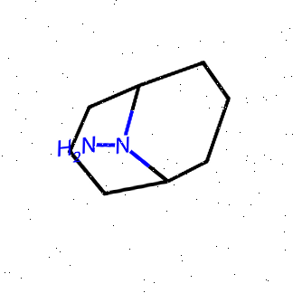 NN1C2CCCC1CCC2